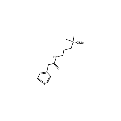 CO[Si](C)(C)CCCNC(=O)Cc1ccncc1